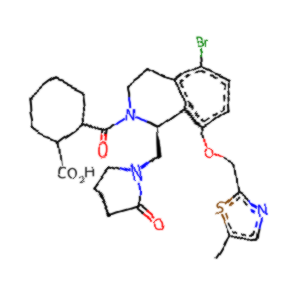 Cc1cnc(COc2ccc(Br)c3c2[C@@H](CN2CCCC2=O)N(C(=O)C2CCCCC2C(=O)O)CC3)s1